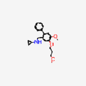 COCCCOc1cc(CNC2CC2)c(-c2ccccc2)cc1OC